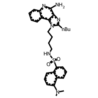 CCCCc1nc2c(N)nc3ccccc3c2n1CCCCNS(=O)(=O)c1cccc2c(N(C)C)cccc12